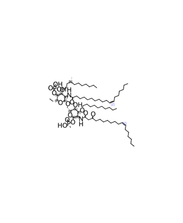 CCCCCC/C=C\CCCCCCCCCC(=O)N[C@H]1[C@H](OC[C@H]2O[C@H](OP(C)(=O)O)[C@H](NC(=O)CC(=O)CCCCCCC/C=C\CCCCCC)[C@@H](OCCCCCCCCCC)[C@@H]2O)O[C@H](CC)[C@@H](OP(=O)(O)O)[C@@H]1OCC[C@H](C)CCCCCCC